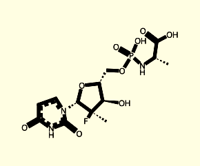 C[C@H](NP(=O)(O)OC[C@H]1O[C@@H](n2ccc(=O)[nH]c2=O)[C@](C)(F)[C@@H]1O)C(=O)O